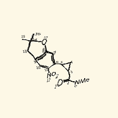 CNC(=O)C1CC1c1cc2c(cc1[N+](=O)[O-])CC(C)(C)O2